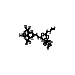 C=CCCC(=O)OC(CCc1cc(C(C)(C)C)c(O)c(C(C)(C)C)c1)COP(C)(=O)OC